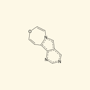 C1=Cc2c3ncncc3cn2C=CO1